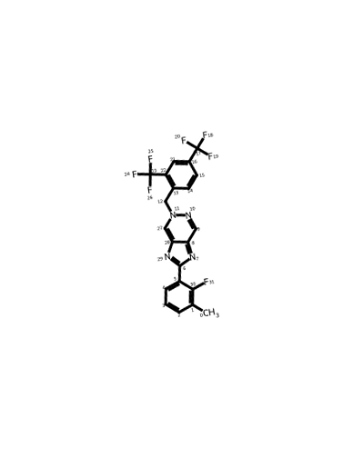 Cc1cccc(-c2nc3cnn(Cc4ccc(C(F)(F)F)cc4C(F)(F)F)cc-3n2)c1F